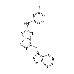 Cc1cccc(Nc2nn3c(Cn4ccc5ncccc54)nnc3s2)c1